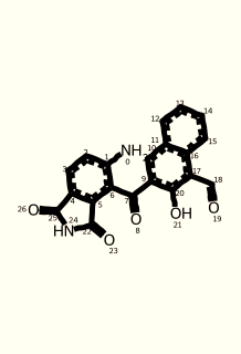 Nc1ccc2c(c1C(=O)c1cc3ccccc3c(C=O)c1O)C(=O)NC2=O